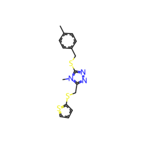 Cc1ccc(CSc2nnc(CSc3cccs3)n2C)cc1